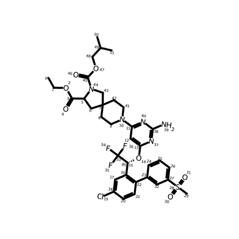 CCOC(=O)C1CC2(CCN(c3cc(O[C@H](c4cc(Cl)ccc4-c4cccc(S(C)(=O)=O)c4)C(F)(F)F)nc(N)n3)CC2)CN1C(=O)OCC(C)C